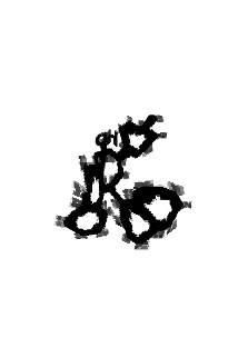 Cc1ccc([C@@H](CC(c2cccc3ccccc23)c2cccc3ccccc23)C(=O)O)cc1